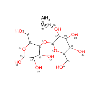 OCC1OC(OC2C(CO)OC(O)C(O)C2O)C(O)C(O)C1O.[AlH3].[MgH2]